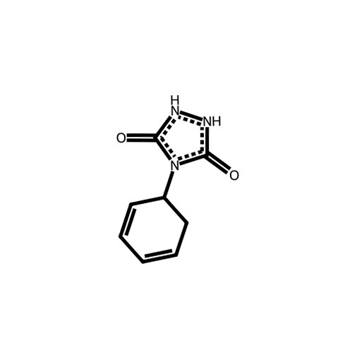 O=c1[nH][nH]c(=O)n1C1C=CC=CC1